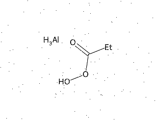 CCC(=O)OO.[AlH3]